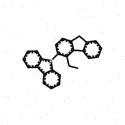 CCc1c(-n2c3ccccc3c3ccccc32)ccc2c1-c1ccccc1C2